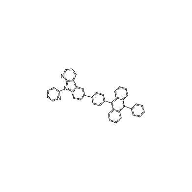 c1ccc(-c2c3ccccc3c(-c3ccc(-c4ccc5c(c4)c4cccnc4n5-c4ccccn4)cc3)c3ccccc23)cc1